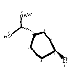 CC[C@H]1CC[C@H](C(O)OC)CC1